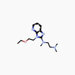 CCOCCn1c(N(C)CCN(C)C)nc2cccnc21